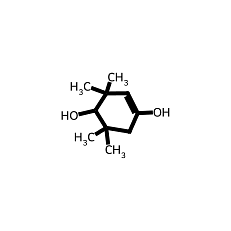 CC1(C)C=C(O)CC(C)(C)C1O